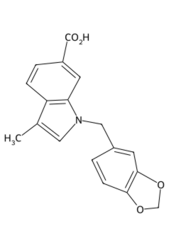 Cc1cn(Cc2ccc3c(c2)OCO3)c2cc(C(=O)O)ccc12